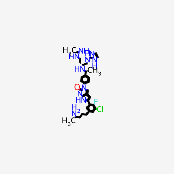 CC(=N)NCC[C@H](CNc1ncc[nH]1)N[C@@H](C)c1ccc(-n2cc3cc(-c4cc(CCC[C@H](C)N)cc(Cl)c4F)[nH]c3nc2=O)cc1